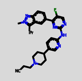 CC(C)c1c2cc(-c3nc(Nc4ccc(C5CCN(CCC#N)CC5)cn4)ncc3F)ccc2nn1C